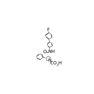 O=C(Nc1ccc(-c2ccc(F)cc2)cc1)[C@@H]1CN(C(=O)O)C[C@H]1c1ccccc1